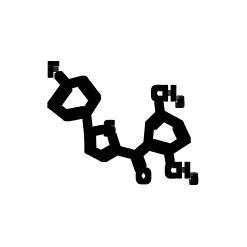 Cc1ccc(C)c(C(=O)c2ccc(-c3ccc(F)cc3)s2)c1